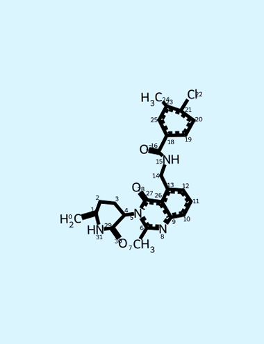 C=C1CCC(n2c(C)nc3cccc(CNC(=O)c4ccc(Cl)c(C)c4)c3c2=O)C(=O)N1